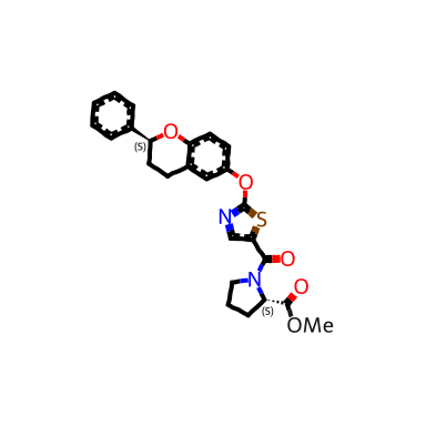 COC(=O)[C@@H]1CCCN1C(=O)c1cnc(Oc2ccc3c(c2)CC[C@@H](c2ccccc2)O3)s1